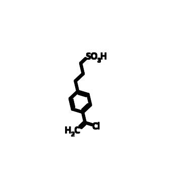 C=C(Cl)c1ccc(CCCS(=O)(=O)O)cc1